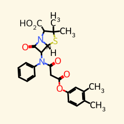 Cc1ccc(OC(=O)CC(=O)N(c2ccccc2)C2C(=O)N3C(C(=O)O)C(C)(C)S[C@H]23)cc1C